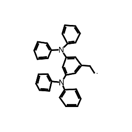 [CH2]Cc1cc(N(c2ccccc2)c2ccccc2)cc(N(c2ccccc2)c2ccccc2)c1